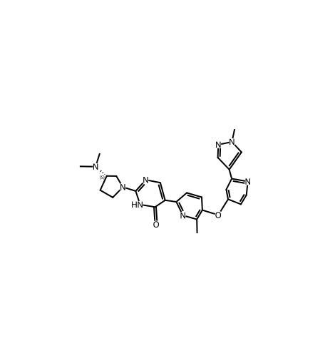 Cc1nc(-c2cnc(N3CC[C@H](N(C)C)C3)[nH]c2=O)ccc1Oc1ccnc(-c2cnn(C)c2)c1